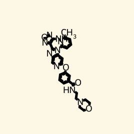 Cc1cccc(-n2c(-c3nonc3N)nc3cnc(Oc4cccc(C(=O)NCCN5CCOCC5)c4)cc32)n1